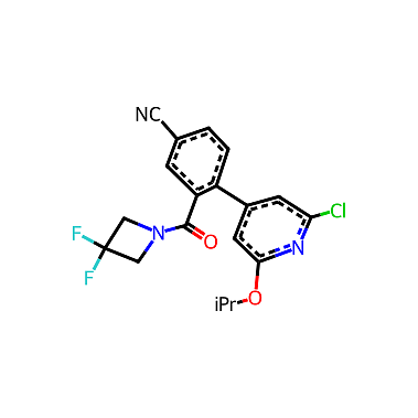 CC(C)Oc1cc(-c2ccc(C#N)cc2C(=O)N2CC(F)(F)C2)cc(Cl)n1